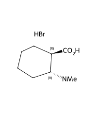 Br.CN[C@@H]1CCCC[C@H]1C(=O)O